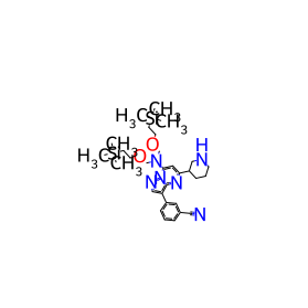 C[Si](C)(C)CCOCN(COCC[Si](C)(C)C)c1cc(C2CCCNC2)nc2c(-c3cccc(C#N)c3)cnn12